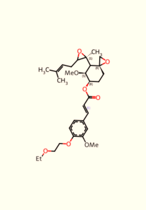 CCOCCOc1ccc(/C=C/C(=O)O[C@@H]2CC[C@]3(CO3)C([C@]3(C)OC3CC=C(C)C)[C@@H]2OC)cc1OC